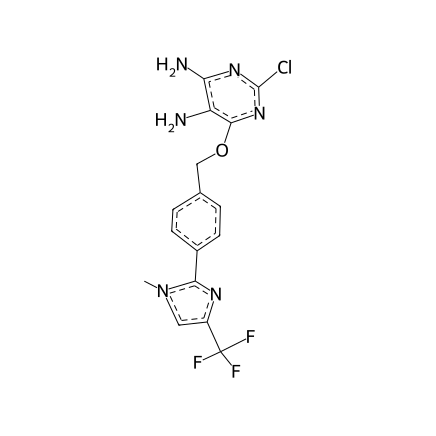 Cn1cc(C(F)(F)F)nc1-c1ccc(COc2nc(Cl)nc(N)c2N)cc1